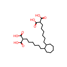 O=C(O)C(CCCCCCC1CCCCCC1CCCCCCC(C(=O)O)C(=O)O)C(=O)O